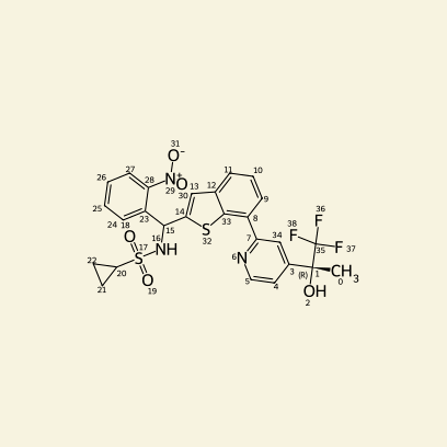 C[C@@](O)(c1ccnc(-c2cccc3cc(C(NS(=O)(=O)C4CC4)c4ccccc4[N+](=O)[O-])sc23)c1)C(F)(F)F